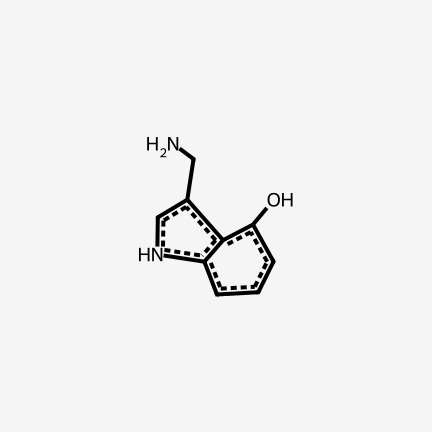 NCc1c[nH]c2cccc(O)c12